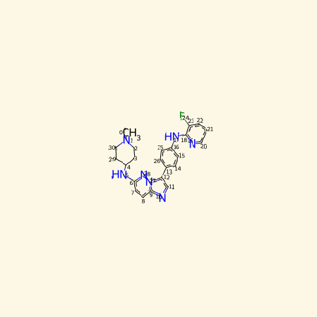 CN1CCC(Nc2ccc3ncc(-c4ccc(Nc5ncccc5F)cc4)n3n2)CC1